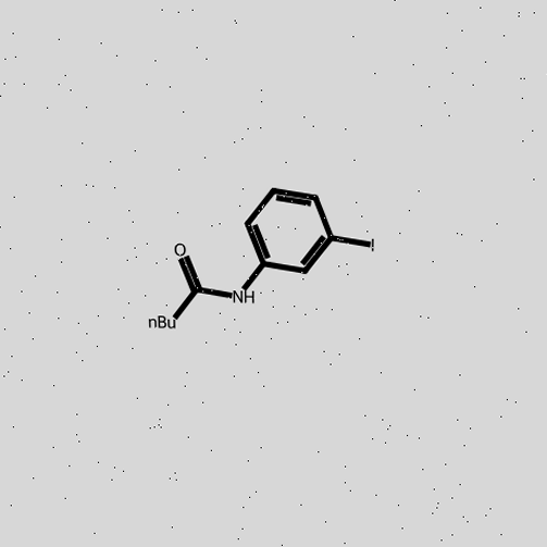 CCCCC(=O)Nc1cccc(I)c1